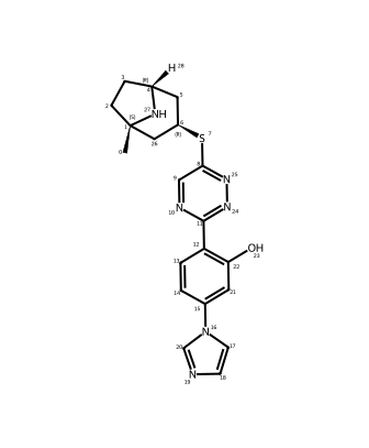 C[C@]12CC[C@H](C[C@@H](Sc3cnc(-c4ccc(-n5ccnc5)cc4O)nn3)C1)N2